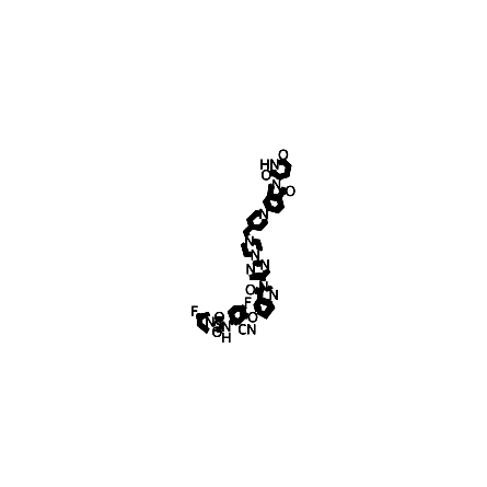 N#Cc1c(NS(=O)(=O)N2CC[C@@H](F)C2)ccc(F)c1Oc1ccc2ncn(-c3cnc(N4CCN(CC5CCN(c6ccc7c(c6)CN(C6CCC(=O)NC6=O)C7=O)CC5)CC4)nc3)c(=O)c2c1